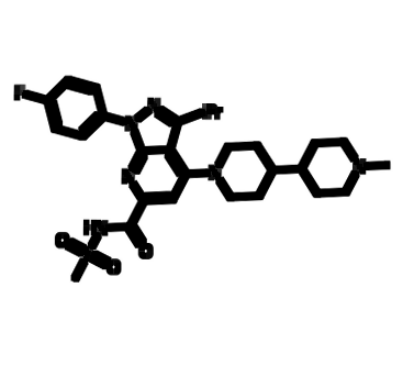 CC(C)c1nn(-c2ccc(F)cc2)c2nc(C(=O)NS(C)(=O)=O)cc(N3CCC(C4CCN(C)CC4)CC3)c12